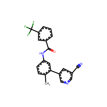 Cc1ccc(NC(=O)c2cccc(C(F)(F)F)c2)cc1-c1cncc(C#N)c1